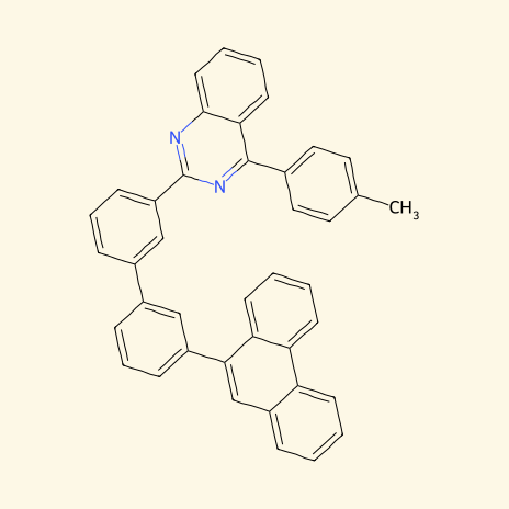 Cc1ccc(-c2nc(-c3cccc(-c4cccc(-c5cc6ccccc6c6ccccc56)c4)c3)nc3ccccc23)cc1